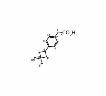 O=C(O)Cc1ccc(C2CC(F)(F)C2)cc1